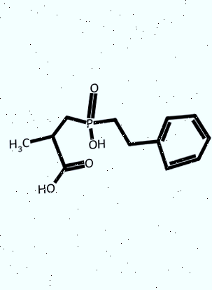 CC(CP(=O)(O)CCc1ccccc1)C(=O)O